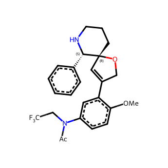 COc1ccc(N(CC(F)(F)F)C(C)=O)cc1C1=C[C@@]2(CCCN[C@H]2c2ccccc2)OC1